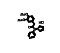 COc1ccc(CC(=O)N(c2ccncc2)n2cccc2)cc1OC.Cl